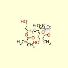 C=C(C)C(=O)OCCCO.C=CC(=O)ONC(=O)OCC.CCOC(=O)C(C)=CCCO